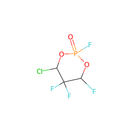 O=P1(F)OC(F)C(F)(F)C(Cl)O1